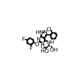 O=C(O)[C@H](CO)Nc1nc(Oc2ccc(F)cc2F)nc2[nH]nc(-c3ccccc3Cl)c12